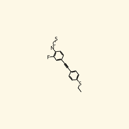 CCSc1ccc(C#Cc2ccc(N=C=S)c(F)c2)cc1